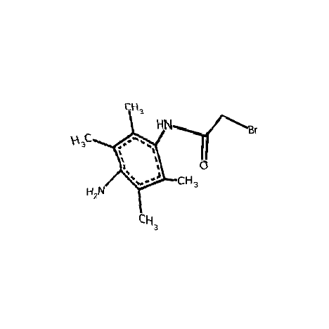 Cc1c(C)c(NC(=O)CBr)c(C)c(C)c1N